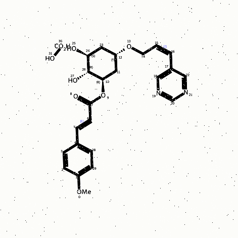 COc1ccc(/C=C/C(=O)O[C@@H]2C[C@@H](OC/C=C\c3cncnc3)C[C@H](O)[C@H]2O)cc1.O=C(O)O